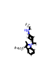 Cc1c(C(=O)O)c2ccccc2n1C(C)C12CC(NCC(F)(F)F)(C1)C2